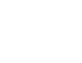 CCC(C)C1CCC(N=C=O)CC1